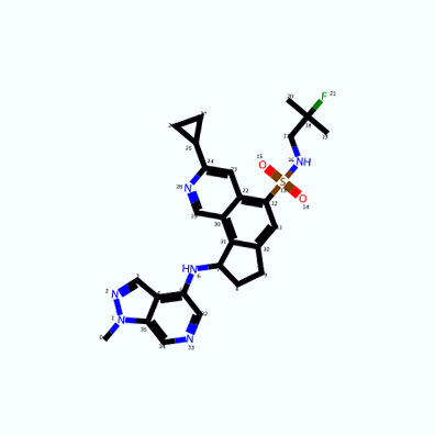 Cn1ncc2c(NC3CCc4cc(S(=O)(=O)NCC(C)(C)F)c5cc(C6CC6)ncc5c43)cncc21